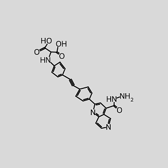 NNC(=O)c1cc(-c2ccc(C#Cc3ccc(NC(C(=O)O)C(=O)O)cc3)cc2)nc2ccncc12